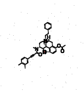 CC(=O)Oc1ccc2c3c1C[C@@H]1[C@@H]4CC[C@@H](N(C)C(=O)C#Cc5ccc(C)c(C)c5)[C@H](O2)[C@]34CCN1CCc1ccccc1